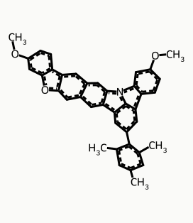 COc1ccc2c(c1)oc1cc3cc4c5cc(-c6c(C)cc(C)cc6C)cc6c7ccc(OC)cc7n(c4cc3cc12)c65